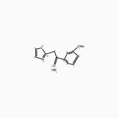 Br.COc1cccc(C(=O)Cc2nccs2)c1